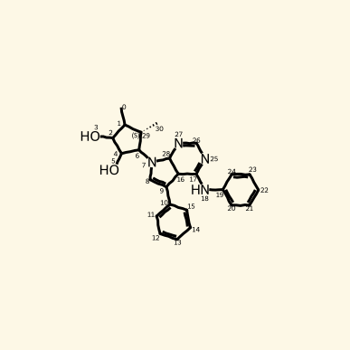 CC1C(O)C(O)C(N2C=C(c3ccccc3)C3C(Nc4ccccc4)=NC=NC32)[C@H]1C